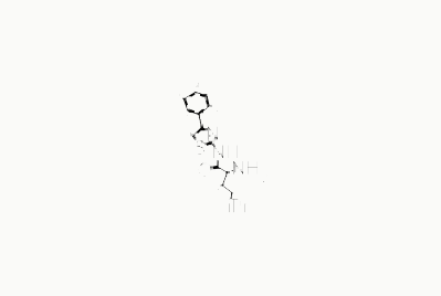 CC(C)CC[C@H](N)C(=O)Nc1nc(-c2ccccc2)cs1